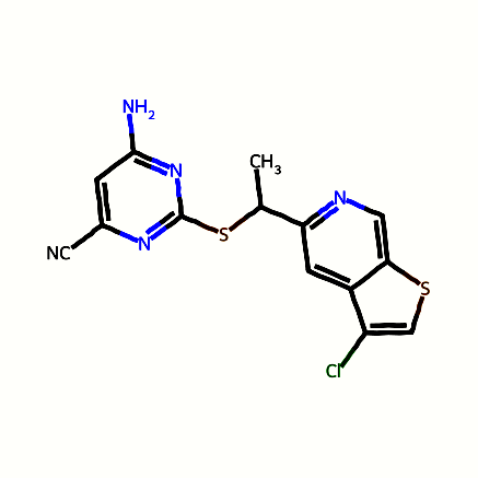 CC(Sc1nc(N)cc(C#N)n1)c1cc2c(Cl)csc2cn1